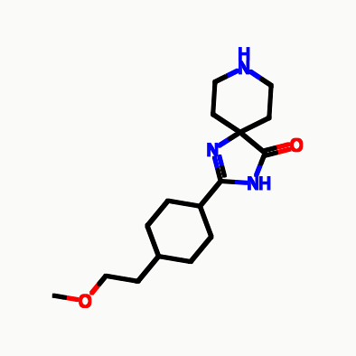 COCCC1CCC(C2=NC3(CCNCC3)C(=O)N2)CC1